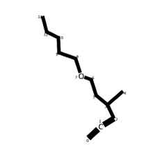 C=C=CC(C)CCOCCCCC